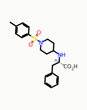 Cc1ccc(S(=O)(=O)N2CCC(N[C@@H](Cc3ccccc3)C(=O)O)CC2)cc1